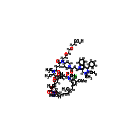 COc1cc2cc(c1Cl)N(C)C(=O)C[C@H](OC(=O)[C@@H](C)N(C)C(=O)CCC(=O)N(CCOCCOCCC(=O)O)C1CCN(C(=O)CCn3c4c(c5ccccc53)C(c3ccccc3)N(C)N(C)C4)CC1)[C@@]1(C)CC(C)(O1)[C@@H]1C[C@@](O)(NC(=O)O1)[C@H](OC)/C=C/C=C(\C)C2